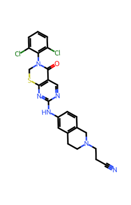 N#CCCN1CCc2cc(Nc3ncc4c(n3)SCN(c3c(Cl)cccc3Cl)C4=O)ccc2C1